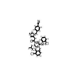 CC(C)C[C@@H](CN(Cc1cccc(Cl)c1Cl)C(=S)Nc1ccccc1Cl)NC(=O)Cc1cncn1Cc1ccc(C#N)cc1